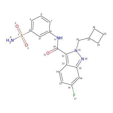 NS(=O)(=O)c1cccc(NC(=O)c2c3ccc(F)cc3nn2CC2CCC2)c1